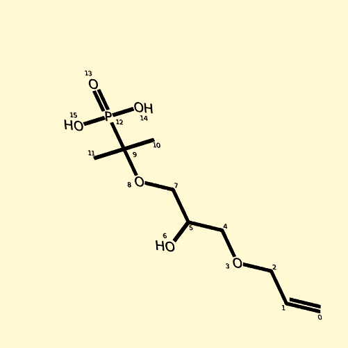 C=CCOCC(O)COC(C)(C)P(=O)(O)O